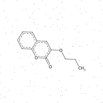 CCCOc1cc2ccccc2oc1=O